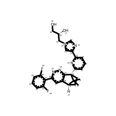 CC1(C)[C@H]2CC[C@]1(c1cccc(-c3cn(C[C@@H](O)CO)cn3)n1)c1nnc(-c3c(F)cccc3F)cc12